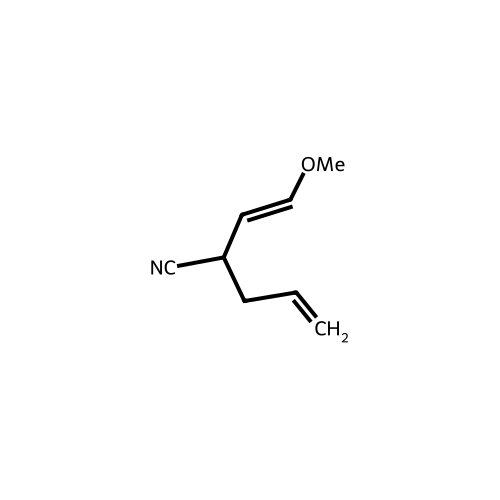 C=CCC(C#N)C=COC